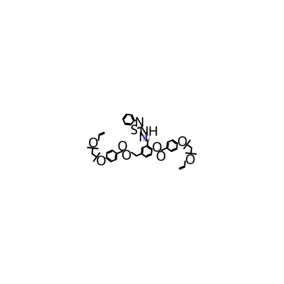 C=CCOC(C)(C)CC(C)(C)Oc1ccc(C(=O)OCCc2ccc(OC(=O)c3ccc(OC(C)(C)CC(C)(C)OCC=C)cc3)c(/C=N/Nc3nc4ccccc4s3)c2)cc1